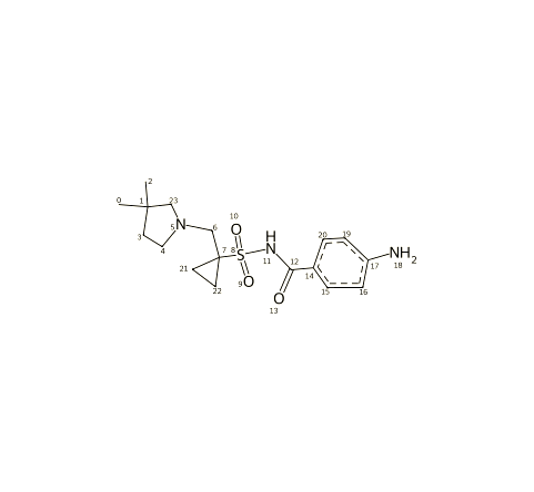 CC1(C)CCN(CC2(S(=O)(=O)NC(=O)c3ccc(N)cc3)CC2)C1